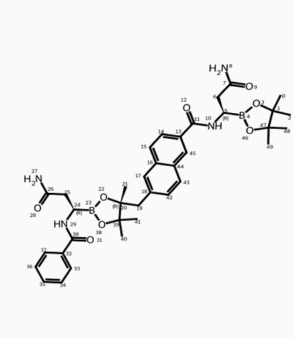 CC1(C)OB([C@H](CC(N)=O)NC(=O)c2ccc3cc(C[C@@]4(C)OB([C@H](CC(N)=O)NC(=O)c5ccccc5)OC4(C)C)ccc3c2)OC1(C)C